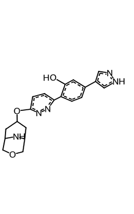 Oc1cc(-c2cn[nH]c2)ccc1-c1ccc(OC2CC3COCC(C2)N3)nn1